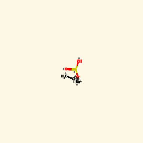 CC=O.O=S([O-])O.[Na+]